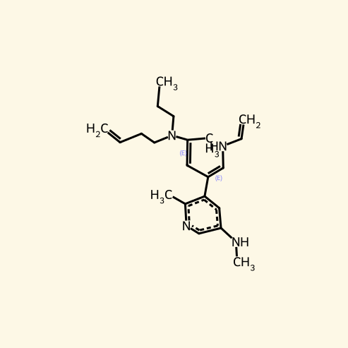 C=CCCN(CCC)/C(C)=C/C(=C\NC=C)c1cc(NC)cnc1C